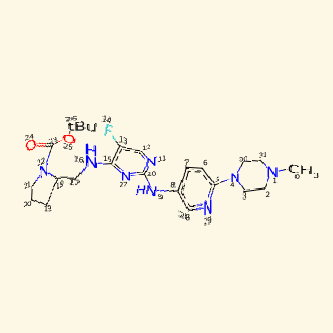 CN1CCN(c2ccc(Nc3ncc(F)c(NCC4CCCN4C(=O)OC(C)(C)C)n3)cn2)CC1